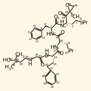 CC(C)CC[C@H](NC(=O)[C@H](Cc1ccccc1)NC(=O)[C@H](CC(C)C)NC(=O)[C@H](CCc1ccccc1)NC(=O)CNCC[Si](C)(C)O)C(=O)[C@@]1(C)CO1